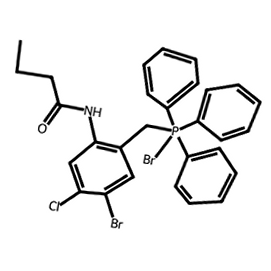 CCCC(=O)Nc1cc(Cl)c(Br)cc1CP(Br)(c1ccccc1)(c1ccccc1)c1ccccc1